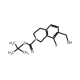 CC(C)(C)OC(=O)N1CCc2ccc(CO)c(F)c2C1